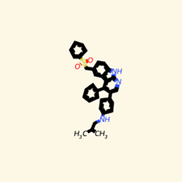 CC(C)CNc1ccc(-c2cnc3[nH]c4ccc(CS(=O)(=O)c5ccccc5)cc4c3c2-c2ccccc2)cc1